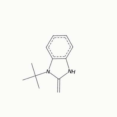 C=C1Nc2ccccc2N1C(C)(C)C